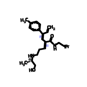 C=C/C(=C\C(=C/CCN[C@@H](C)CO)C(=O)NCC(C)C)c1ccc(C)cc1